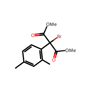 COC(=O)C(Br)(C(=O)OC)c1ccc(C)cc1C